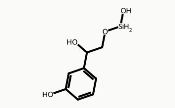 O[SiH2]OCC(O)c1cccc(O)c1